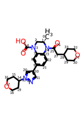 C[C@H]1CN(C(=O)O)c2cc(-c3cnn(C4CCOCC4)c3)ccc2N1C(=O)CC1CCOCC1